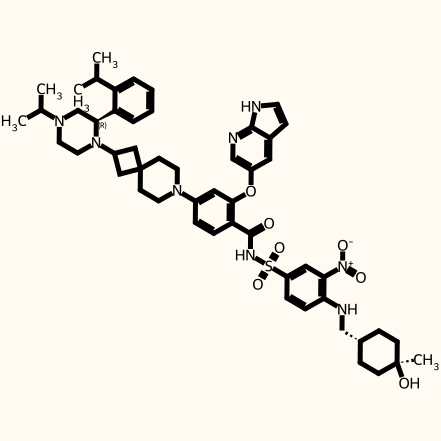 CC(C)c1ccccc1[C@@H]1CN(C(C)C)CCN1C1CC2(CCN(c3ccc(C(=O)NS(=O)(=O)c4ccc(NC[C@H]5CC[C@](C)(O)CC5)c([N+](=O)[O-])c4)c(Oc4cnc5[nH]ccc5c4)c3)CC2)C1